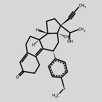 CC#C[C@]1(C(C)O)CC[C@H]2[C@@H]3CCC4=CC(=O)CCC4=C3[C@@H](c3ccc(SC)cc3)C[C@@]21C